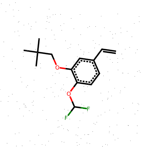 C=Cc1ccc(OC(F)F)c(OCC(C)(C)C)c1